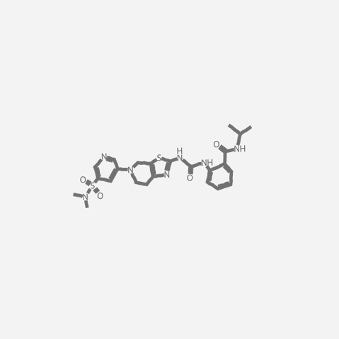 CC(C)NC(=O)c1ccccc1NC(=O)Nc1nc2c(s1)CN(c1cncc(S(=O)(=O)N(C)C)c1)CC2